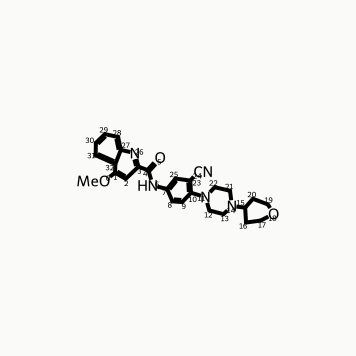 COc1cc(C(=O)Nc2ccc(N3CCN(C4CCOCC4)CC3)c(C#N)c2)nc2ccccc12